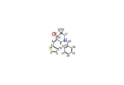 Cc1ccsc1C=C1CN(Cc2ccccc2)CC(C)(C)C1=O